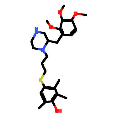 COc1ccc(CC2CNCCN2CCCSc2cc(C)c(O)c(C)c2C)c(OC)c1OC